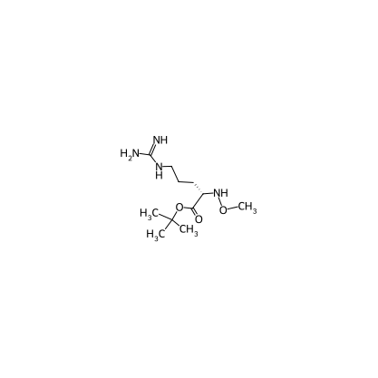 CON[C@@H](CCCNC(=N)N)C(=O)OC(C)(C)C